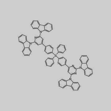 c1ccc([Si](c2ccccc2)(c2ccc(-c3cc(-n4c5ccccc5c5ccccc54)nc(-n4c5ccccc5c5ccccc54)c3)cc2)c2ccc(-c3cc(-n4c5ccccc5c5ccccc54)nc(-n4c5ccccc5c5ccccc54)n3)cc2)cc1